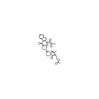 CCNC(=O)Nc1sc2ccccc2c1C(=O)N1CCC(N2CCCC3(C2)N=C(C)N(CCOC(C)=O)C3=O)CC1